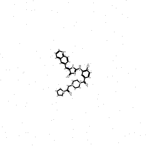 O=C1N=C(Nc2cc(C(=O)N3CCN(CC(=O)N4CCCC4)CC3)ccc2Cl)S/C1=C\c1ccc2ncccc2c1